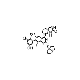 O=C1NCC2(CCCN(c3nc(OCC45CCCN4CCC5)nc4c(F)c(-c5cc(O)cc(Cl)c5C5CC5)c(F)cc34)C2)N1